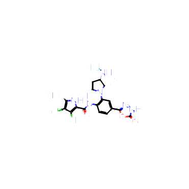 Cc1[nH]c(C(=O)Nc2ccc(-c3n[nH]c(=O)o3)cc2N2CC[C@H](N)C2)c(Cl)c1Cl.Cl